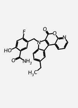 CCc1ccc2c(c1)c1c3cccnc3oc(=O)c1n2Cc1cc(C(N)=O)c(O)cc1F